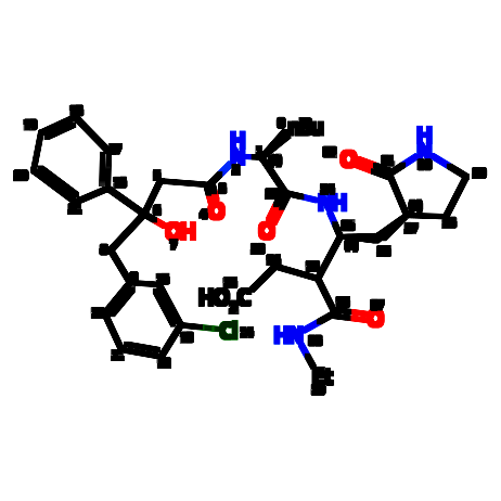 CCCC[C@H](NC(=O)CC(O)(Cc1cccc(Cl)c1)c1ccccc1)C(=O)N[C@@H](C[C@@H]1CCNC1=O)C(CC(=O)O)C(=O)NCC